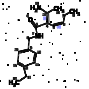 CC/C=C\C(C(=O)NCc1ccc(CC)cc1)=C(/C)N